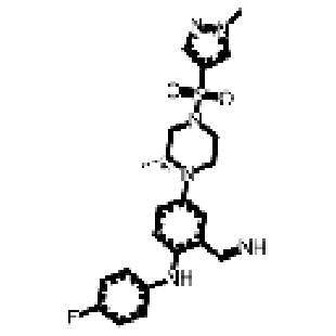 C[C@@H]1CN(S(=O)(=O)c2cnn(C)c2)CCN1c1ccc(Nc2ccc(F)cc2)c(C=N)c1